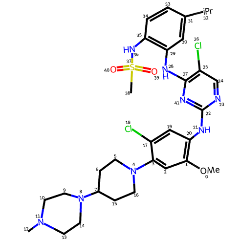 COc1cc(N2CCC(N3CCN(C)CC3)CC2)c(Cl)cc1Nc1ncc(Cl)c(Nc2cc(C(C)C)ccc2NS(C)(=O)=O)n1